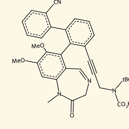 COc1cc2c(c(-c3c(C#CCN(C(=O)O)C(C)(C)C)cccc3-c3ccccc3C#N)c1OC)C=NCC(=O)N2C